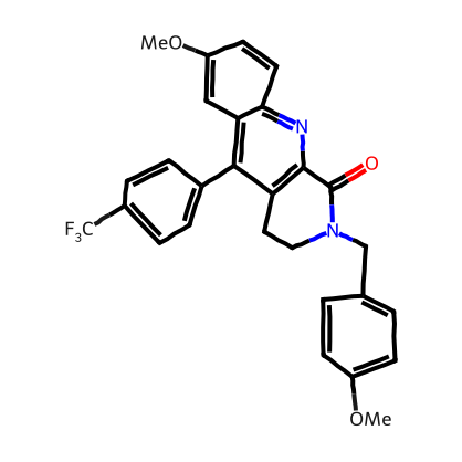 COc1ccc(CN2CCc3c(nc4ccc(OC)cc4c3-c3ccc(C(F)(F)F)cc3)C2=O)cc1